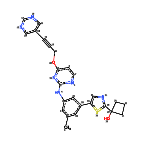 Cc1cc(Nc2nccc(OCC#Cc3cncnc3)n2)cc(-c2cnc(C3(O)CCC3)s2)c1